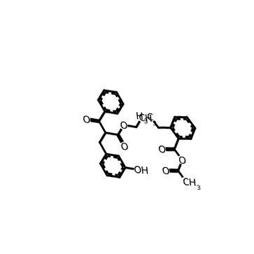 CCOC(=O)C(Cc1cccc(O)c1)C(=O)c1ccccc1.CCc1ccccc1C(=O)OC(C)=O